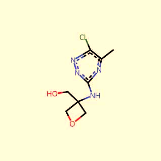 Cc1nc(NC2(CO)COC2)nnc1Cl